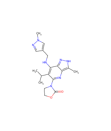 Cc1[nH]nc2c(NCc3cnn(C)c3)c(C(C)C)c(N3CCOC3=O)nc12